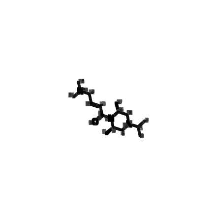 CC(C)N1C[C@@H](C)N(C(=O)/C=C/CN(C)C)[C@@H](C)C1